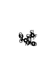 CC(Nc1cc(F)cc(Cl)c1)c1cc(C(=O)N2CCOCC2)cc2ncc(N3CCOCC3)nc12